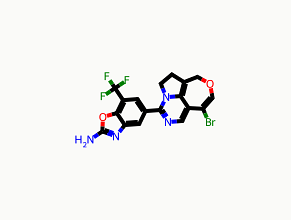 Nc1nc2cc(C3=NC=C4C(Br)=COCC5=C4N3CC5)cc(C(F)(F)F)c2o1